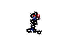 c1ccc(-c2ccc3c(c2)c2cc(-c4ccc5c6c(cccc46)N(c4ccccc4)c4c-5ccc5oc6ccccc6c45)ccc2n3-c2ccccc2)cc1